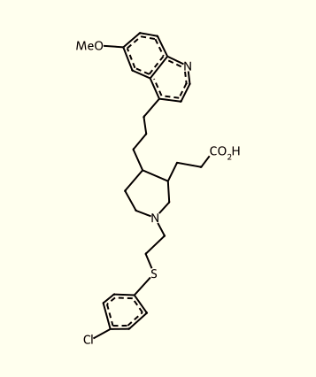 COc1ccc2nccc(CCCC3CCN(CCSc4ccc(Cl)cc4)CC3CCC(=O)O)c2c1